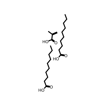 C=C(C)C(=O)O.CCCCCCCCCC(=O)O.CCCCCCCCCC(=O)O